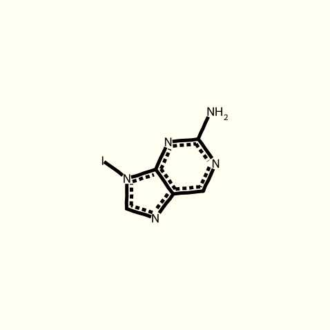 Nc1ncc2ncn(I)c2n1